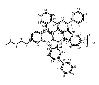 CCCCCc1ccc(N2B3c4oc5ccc(-c6ccccc6)cc5c4-n4c5ccc(C(C)(C)C)cc5c5c(-c6ccccc6)cc(c3c54)-c3ccccc32)cc1